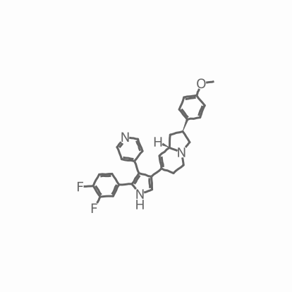 COc1ccc([C@@H]2C[C@H]3C=C(c4c[nH]c(-c5ccc(F)c(F)c5)c4-c4ccncc4)CCN3C2)cc1